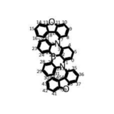 C1=C2C3=C(CC1)N(c1cccc4oc5ccccc5c14)c1ccccc1B3c1ccccc1N2c1cccc2oc3ccccc3c12